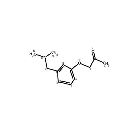 CC(=O)COc1cccc(CN(C)C)c1